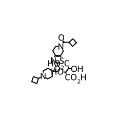 O=C(C1CCC1)N1CCc2nc(OC3CCN(C4CCC4)CC3)sc2C1.O=C(O)C(O)C(O)C(=O)O